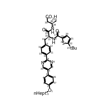 CCCCCCCOc1ccc(-c2cnc(-c3ccc(C[C@H](NC(=O)c4ccc(C(C)(C)C)s4)C(=O)N[C@H](C)CC(=O)O)cc3)nc2)cc1